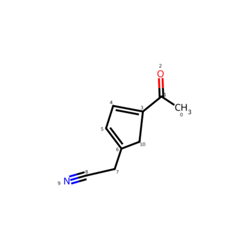 CC(=O)C1=CC=C(CC#N)C1